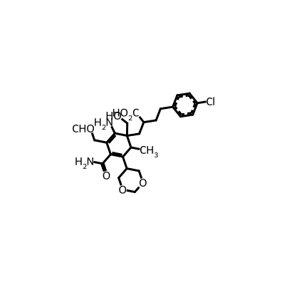 CC1C(C2COCOC2)=C(C(N)=O)C(CC=O)=C(N)C1(CO)CC(CCc1ccc(Cl)cc1)C(=O)O